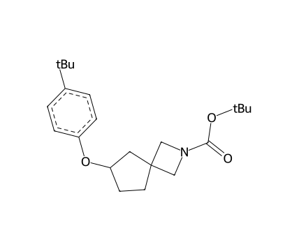 CC(C)(C)OC(=O)N1CC2(CCC(Oc3ccc(C(C)(C)C)cc3)C2)C1